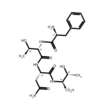 C[C@@H](O)[C@H](NC(=O)[C@H](CC(N)=O)NC(=O)[C@@H](NC(=O)[C@@H](N)Cc1ccccc1)[C@@H](C)O)C(=O)O